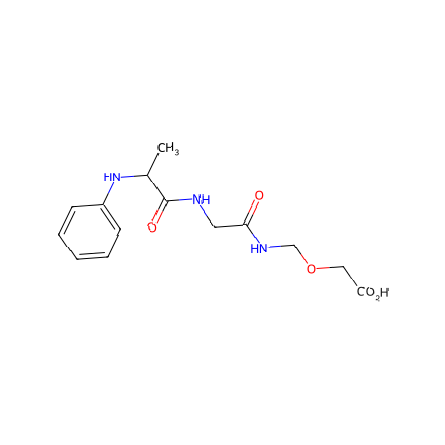 CC(Nc1ccccc1)C(=O)NCC(=O)NCOCC(=O)O